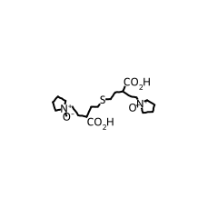 O=C(O)C(CCSCCC(CC[N+]1([O-])CCCC1)C(=O)O)CC[N+]1([O-])CCCC1